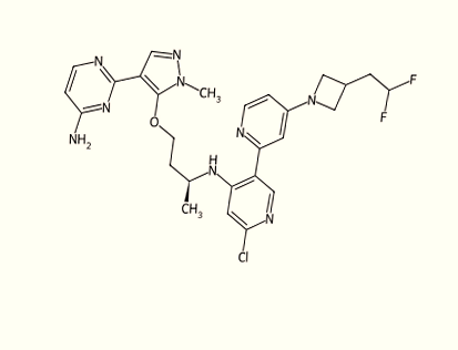 C[C@@H](CCOc1c(-c2nccc(N)n2)cnn1C)Nc1cc(Cl)ncc1-c1cc(N2CC(CC(F)F)C2)ccn1